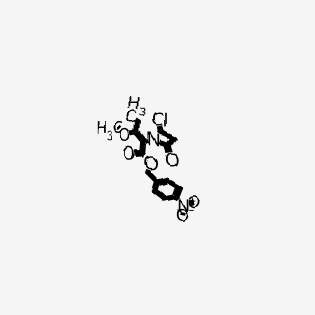 CC/C(OC)=C(/C(=O)OCc1ccc([N+](=O)[O-])cc1)N1C(=O)CC1Cl